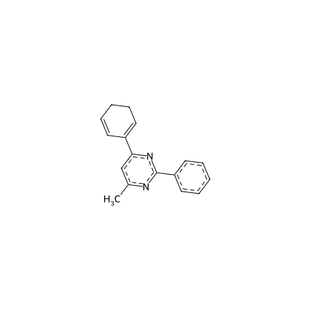 Cc1cc(C2=CCCC=C2)nc(-c2ccccc2)n1